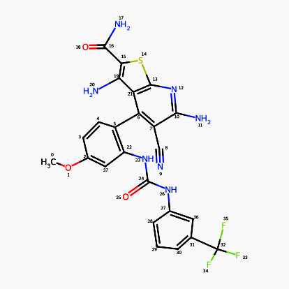 COc1ccc(-c2c(C#N)c(N)nc3sc(C(N)=O)c(N)c23)c(NC(=O)Nc2cccc(C(F)(F)F)c2)c1